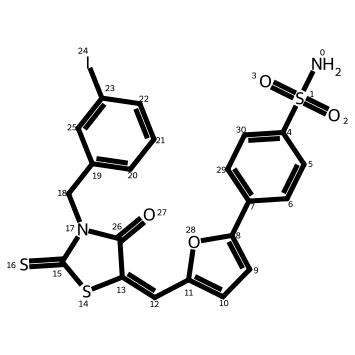 NS(=O)(=O)c1ccc(-c2ccc(C=C3SC(=S)N(Cc4cccc(I)c4)C3=O)o2)cc1